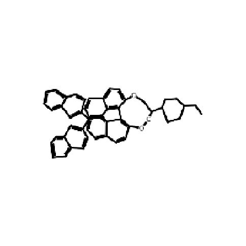 CCC1CCC(C2COc3ccc4ccc(-c5ccc6ccccc6c5)cc4c3-c3c(ccc4ccc(-c5ccc6ccccc6c5)cc34)OC2)CC1